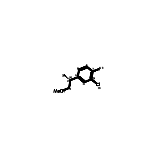 COC[C@H](C)c1ccc(F)c(Cl)c1